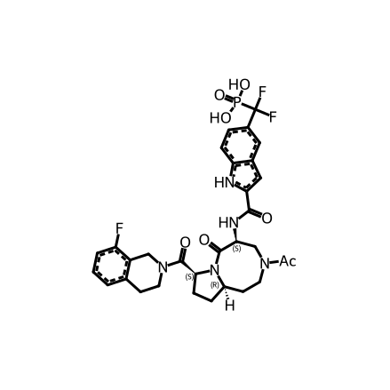 CC(=O)N1CC[C@H]2CC[C@@H](C(=O)N3CCc4cccc(F)c4C3)N2C(=O)[C@@H](NC(=O)c2cc3cc(C(F)(F)P(=O)(O)O)ccc3[nH]2)C1